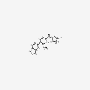 Cc1cc(Nc2cnc(-c3ccc4c(c3)CCC4)c(N)n2)n[nH]1